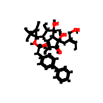 C/C=C(/CO)C[C@]1(O)C(=O)C(C)=C[C@H]1[C@@](C)(O)[C@H](C)C[C@]1(OC(=O)Cc2ccc(-c3ccccc3)cc2)C(C)C1(C)C